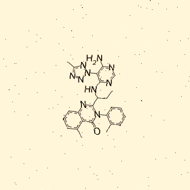 CCC(Nc1ncnc(N)c1-n1nnc(C)n1)c1nc2cccc(C)c2c(=O)n1-c1ccccc1C